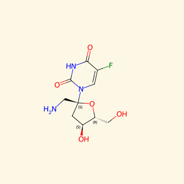 NC[C@]1(n2cc(F)c(=O)[nH]c2=O)C[C@H](O)[C@@H](CO)O1